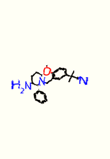 COc1ccc(C(C)(C)C#N)cc1CN1CCC[C@H](N)[C@H]1c1ccccc1